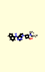 CN([C@H]1C[C@@H](n2ccc3c(Nc4cccc5c4CCC5)ncnc32)C[C@@H]1O)S(=O)(=O)O